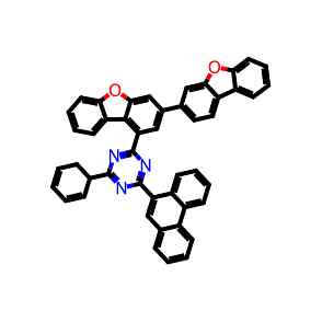 C1=CCC(c2nc(-c3cc4ccccc4c4ccccc34)nc(-c3cc(-c4ccc5c(c4)oc4ccccc45)cc4oc5ccccc5c34)n2)C=C1